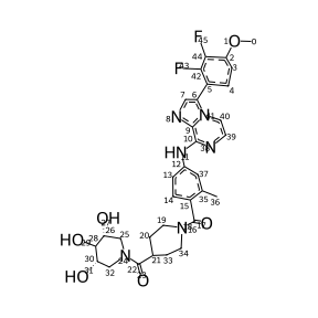 COc1ccc(-c2cnc3c(Nc4ccc(C(=O)N5CCC(C(=O)N6C[C@@H](O)C(O)[C@@H](O)C6)CC5)c(C)c4)nccn23)c(F)c1F